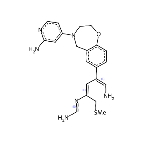 CSCC(=C\C(=C/N)c1ccc2c(c1)CN(c1ccnc(N)c1)CCO2)/N=C/N